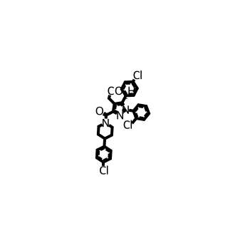 O=C(O)Cc1c(C(=O)N2CCC(c3ccc(Cl)cc3)CC2)nn(-c2ccccc2Cl)c1-c1ccc(Cl)cc1